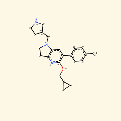 N#Cc1ccc(-c2cc3c(nc2OCC2CC2)CCN3C[C@H]2CCNC2)cc1